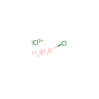 [BH3-]Cl.[BH4-].[Cl+2]